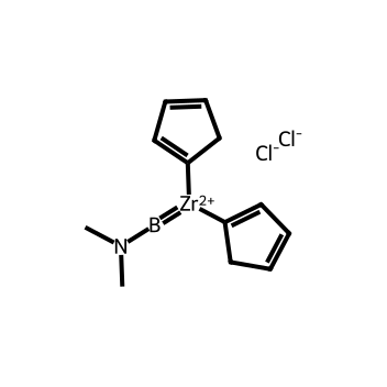 CN(C)[B]=[Zr+2]([C]1=CC=CC1)[C]1=CC=CC1.[Cl-].[Cl-]